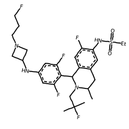 CCS(=O)(=O)Nc1cc2c(cc1F)C(c1c(F)cc(NC3CN(CCCF)C3)cc1F)N(CC(C)(C)F)C(C)C2